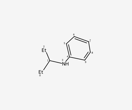 CCC(CC)Nc1cc[c]cc1